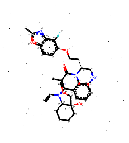 C=CN(/C(=C(\C)C(=O)N1CCNC[C@H]1CCOc1ccc2oc(C)nc2c1F)c1ccccc1)[C@@H]1CCCC[C@@]1(O)COC